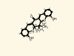 CC1(C)[C@@H]2Oc3c(O)cccc3C=C2C(=O)C2=Cc3cccc(O)c3O[C@H]21